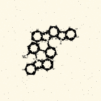 N#Cc1cccc(-c2ccccc2-n2c3ccccc3c3ccc4c5ccccc5sc4c32)c1-n1c2ccccc2c2ccccc21